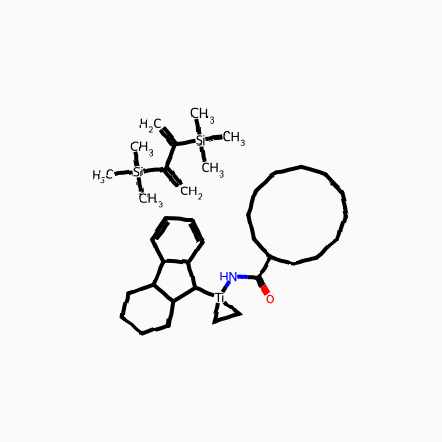 C=C(C(=C)[Si](C)(C)C)[Si](C)(C)C.O=C([NH][Ti]1([CH]2C3C=CC=CC3C3CCCCC32)[CH2][CH2]1)C1CCCCCCCCCCC1